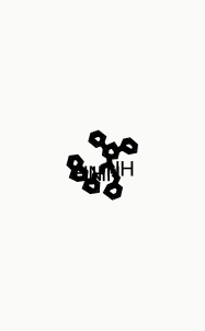 C1=CCC(C2=CC(C(CCNC3=C([C@H]4C=C5CCC=CC5=CC4)C=CCC3)NNCC3=CCCCC3)CC(C3=CCCC=C3)=C2)C=C1